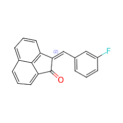 O=c1/c(=C\c2cccc(F)c2)c2cccc3cccc1c32